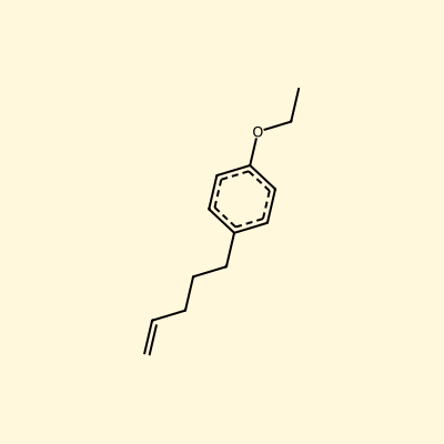 C=CCCCc1ccc(OCC)cc1